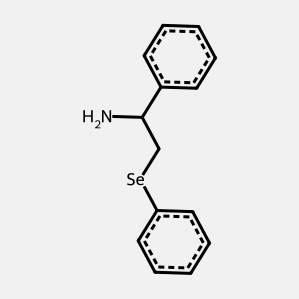 NC(C[Se]c1ccccc1)c1ccccc1